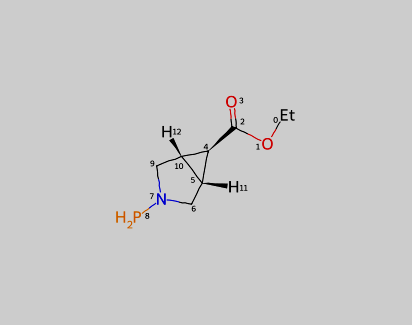 CCOC(=O)[C@H]1[C@@H]2CN(P)C[C@@H]21